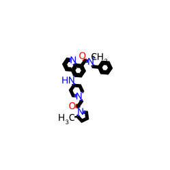 C[C@@H]1CCCN1C(=O)CN1CCC(Nc2ccc(C(=O)N(C)Cc3ccccc3)c3ncccc23)CC1